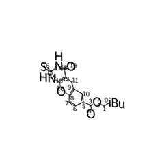 CCC(C)COC(=O)c1ccc2c(c1)Cc1c([nH]c(=S)[nH]c1=O)O2